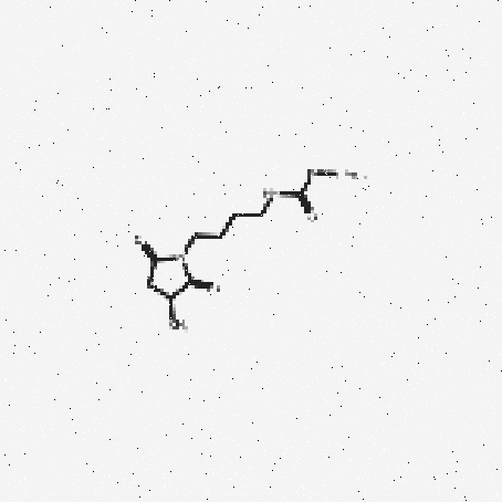 CCCCCNC(=O)NCCCCN1C(=O)CC(C)C1=O